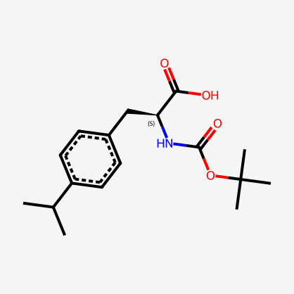 CC(C)c1ccc(C[C@H](NC(=O)OC(C)(C)C)C(=O)O)cc1